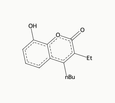 CCCCc1c(CC)c(=O)oc2c(O)cccc12